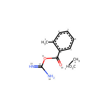 CC(=O)O.Cc1ccccc1C(=O)OC(=N)N